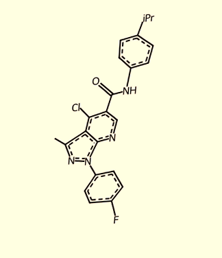 Cc1nn(-c2ccc(F)cc2)c2ncc(C(=O)Nc3ccc(C(C)C)cc3)c(Cl)c12